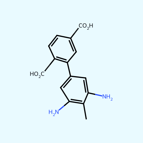 Cc1c(N)cc(-c2cc(C(=O)O)ccc2C(=O)O)cc1N